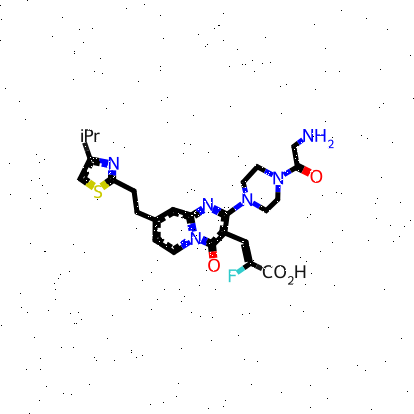 CC(C)c1csc(CCc2ccn3c(=O)c(C=C(F)C(=O)O)c(N4CCN(C(=O)CN)CC4)nc3c2)n1